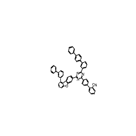 N#Cc1ccccc1-c1ccc(-c2nc(-c3cccc(-c4ccc(-c5ccccc5)cc4)c3)nc(-c3ccc4c(c3)oc3cccc(-c5cccc(-c6ccccc6)c5)c34)n2)cc1